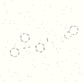 O=C(NCCc1nc2ccccc2s1)c1ccc(CN(Cc2ccc(F)cc2)S(=O)(=O)c2cc(Cl)cc(Cl)c2O)cc1